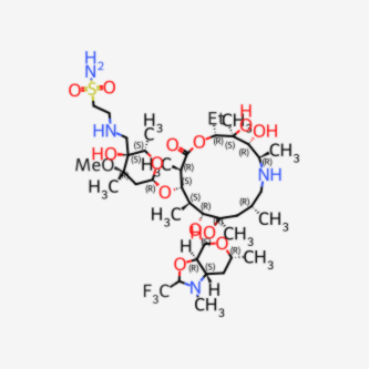 CC[C@H]1OC(=O)[C@H](C)[C@@H](O[C@H]2C[C@@](C)(OC)[C@](O)(CNCCS(N)(=O)=O)[C@H](C)O2)[C@H](C)[C@@H](O[C@@H]2O[C@H](C)C[C@H]3[C@H]2OC(C(F)(F)F)N3C)[C@](C)(O)C[C@@H](C)CN[C@H](C)[C@@H](O)[C@]1(C)O